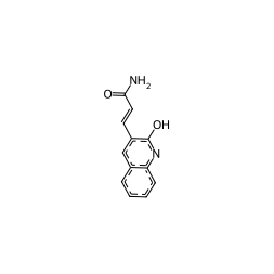 NC(=O)C=Cc1cc2ccccc2nc1O